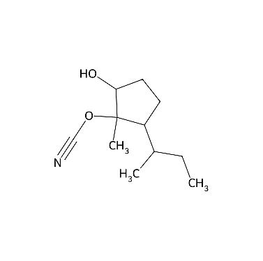 CCC(C)C1CCC(O)C1(C)OC#N